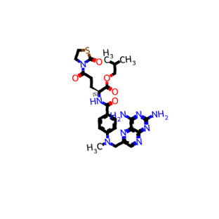 CC(C)COC(=O)[C@H](CCC(=O)N1CCSC1=O)NC(=O)c1ccc(N(C)Cc2cnc3nc(N)nc(N)c3n2)cc1